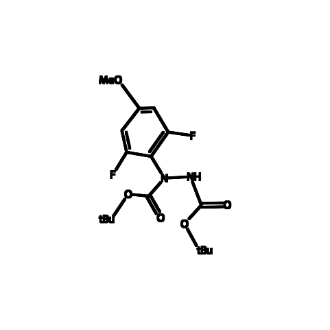 COc1cc(F)c(N(NC(=O)OC(C)(C)C)C(=O)OC(C)(C)C)c(F)c1